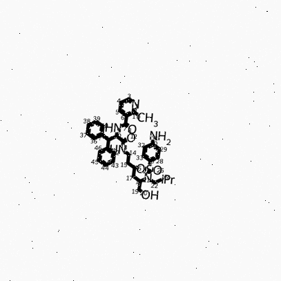 Cc1ncccc1C(=O)NC(C(=O)NCCCCC(CO)N(CC(C)C)S(=O)(=O)c1ccc(N)cc1)C(c1ccccc1)c1ccccc1